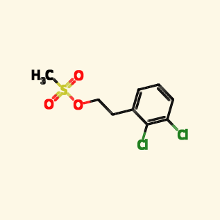 CS(=O)(=O)OCCc1cccc(Cl)c1Cl